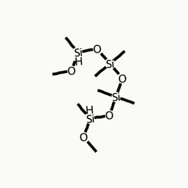 CO[SiH](C)O[Si](C)(C)O[Si](C)(C)O[SiH](C)OC